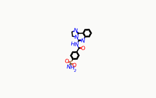 NS(=O)(=O)c1ccc(C(=O)NC2=Nc3ccccc3C3=NCCN23)cc1